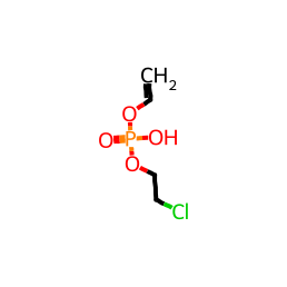 C=COP(=O)(O)OCCCl